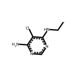 [CH2]CNc1ncnc(N)c1Cl